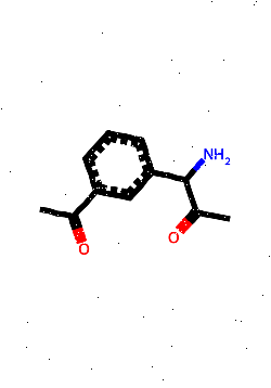 CC(=O)c1cccc(C(N)C(C)=O)c1